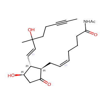 CC#CCCC(C)(O)/C=C/[C@H]1[C@H](O)CC(=O)[C@@H]1C/C=C\CCCC(=O)NC(C)=O